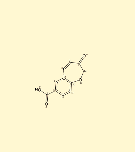 O=C1C=Cc2cc(C(=O)O)ccc2OC1